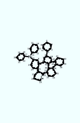 c1ccc(-c2cc3c4cc(N(c5ccccc5)c5ccccc5)ccc4c4ccccc4c4cccc5c6ccccc6c(c2)c3c45)cc1